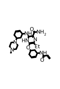 C=CC(=O)NC1C=CCC(OC2=C(CC)N=C(C(N)=O)C(NC3C=CCC(N4CCN(C)CC4)C3)N2)C1